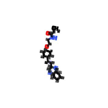 C=CC(=O)NCCOc1ccc(/C=C/c2cnc3ccccc3n2)cc1